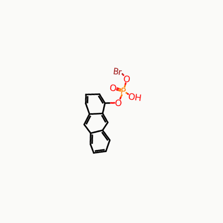 O=P(O)(OBr)Oc1cccc2cc3ccccc3cc12